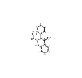 O=c1c(-c2ccccc2)c(CO)cc2ccccn12